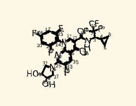 O=C(NC(C1CC1)C(F)(F)C(F)(F)F)c1cn(-c2c(F)cc(F)cc2F)c2nc(N3C[C@@H](O)[C@H](O)C3)c(F)cc2c1=O